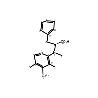 COc1c(C)cnc(N(C)[C@H](Cc2ccccc2)C(=O)O)c1C